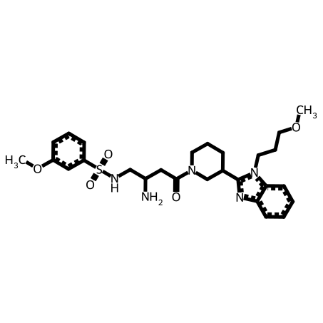 COCCCn1c(C2CCCN(C(=O)CC(N)CNS(=O)(=O)c3cccc(OC)c3)C2)nc2ccccc21